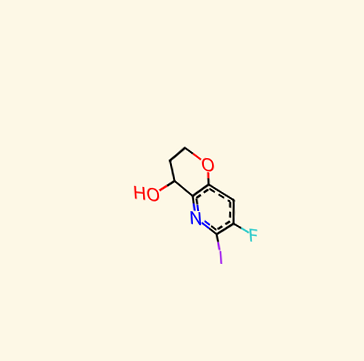 OC1CCOc2cc(F)c(I)nc21